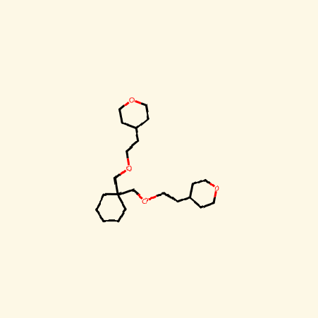 C1CCC(COCCC2CCOCC2)(COCCC2CCOCC2)CC1